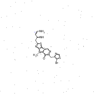 Cn1c2nc(CC(=N)/C=C\N)sc2c2cnn(Cc3ncsc3Br)c(=O)c21